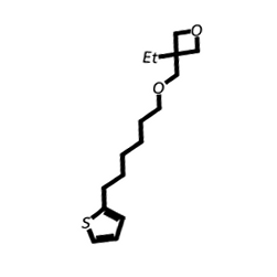 CCC1(COCCCCCCc2cccs2)COC1